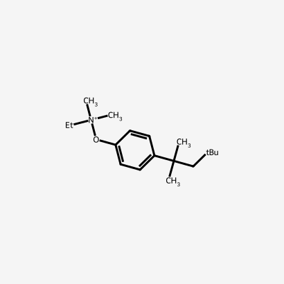 CC[N+](C)(C)Oc1ccc(C(C)(C)CC(C)(C)C)cc1